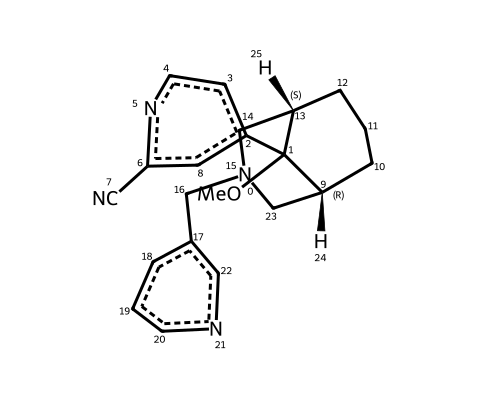 COC1(c2ccnc(C#N)c2)[C@@H]2CCC[C@H]1CN(Cc1cccnc1)C2